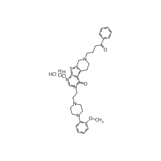 COc1ccccc1N1CCN(CCn2cnc3sc4c(c3c2=O)CCN(CCCC(=O)c2ccccc2)C4)CC1.Cl.Cl.Cl